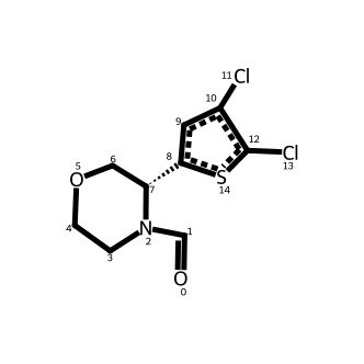 O=CN1CCOC[C@@H]1c1cc(Cl)c(Cl)s1